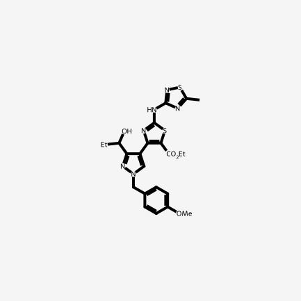 CCOC(=O)c1sc(Nc2nsc(C)n2)nc1-c1cn(Cc2ccc(OC)cc2)nc1C(O)CC